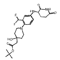 CC(C)(C)OC(=O)CC1(O)CCN(c2ccc(NC3CCC(=O)NC3=O)cc2C(F)F)CC1